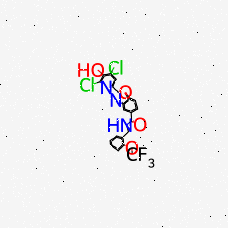 O=C(NCc1ccccc1OC(F)(F)F)c1ccc2oc(-c3cc(Cl)c(O)c(Cl)n3)nc2c1